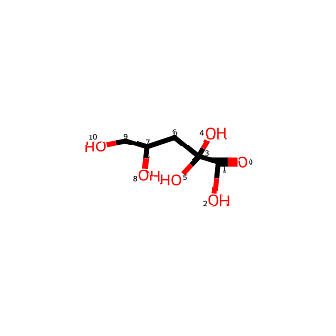 O=C(O)C(O)(O)CC(O)CO